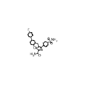 NC(=O)c1nc(-c2ccc(S(N)(=O)=O)cc2)c(Cc2cc(-c3ccc(F)cc3)ccc2Cl)s1